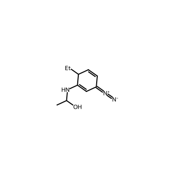 CCC1C=CC(=[N+]=[N-])C=C1NC(C)O